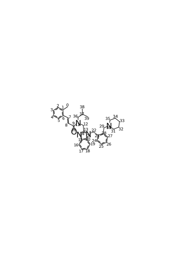 Cc1ccccc1/C=C/C(=O)N(Cc1nc2ccccc2n1Cc1ccccc1CN1CCCCC1)CC(C)C